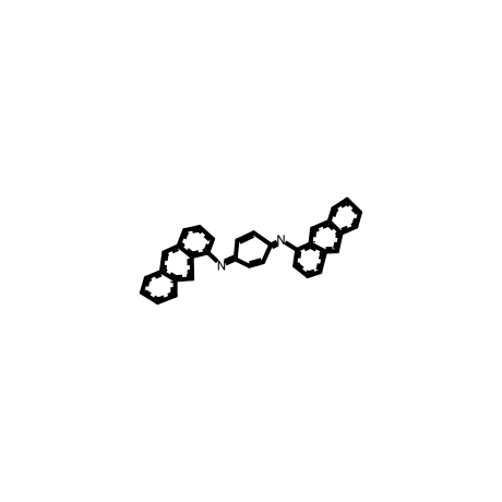 C1=CC(=Nc2cccc3cc4ccccc4cc23)C=CC1=Nc1cccc2cc3ccccc3cc12